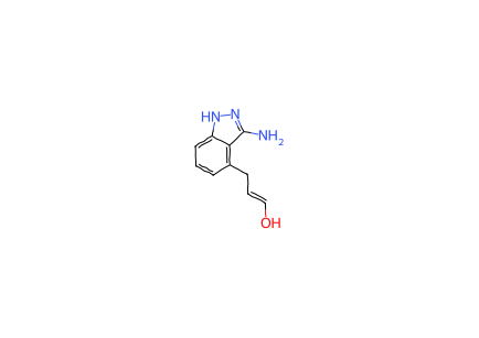 Nc1n[nH]c2cccc(CC=CO)c12